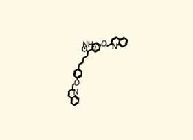 NOC(CCCCc1ccc(OCc2ccc3ccccc3n2)cc1)c1ccc(OCc2ccc3ccccc3n2)cc1